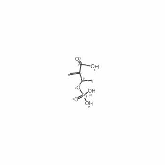 C=C(C(=O)O)C(C)OP(=O)(O)O